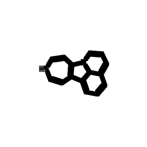 C1=CC2=CC=CN3C4=C(C=CNC=C4)C(=C1)C23